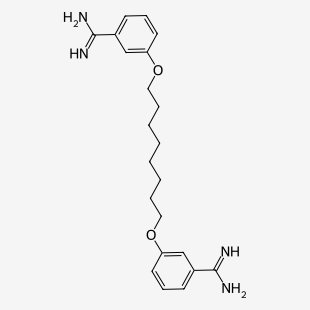 N=C(N)c1cccc(OCCCCCCCCOc2cccc(C(=N)N)c2)c1